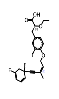 CCO[C@@H](Cc1ccc(OC/C=C(/C)C#CC2(F)C=CC=C(F)C2)c(I)c1)C(=O)O